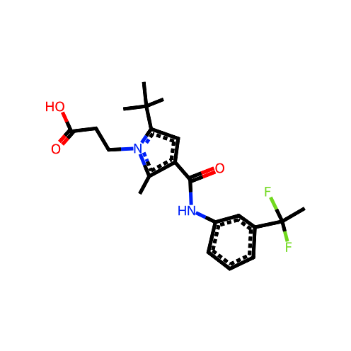 Cc1c(C(=O)Nc2cccc(C(C)(F)F)c2)cc(C(C)(C)C)n1CCC(=O)O